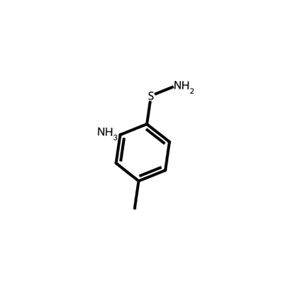 Cc1ccc(SN)cc1.N